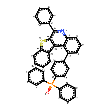 O=P(c1ccccc1)(c1ccccc1)c1ccc(-c2cccc3nc(-c4ccccc4)c4sc5ccccc5c4c23)cc1